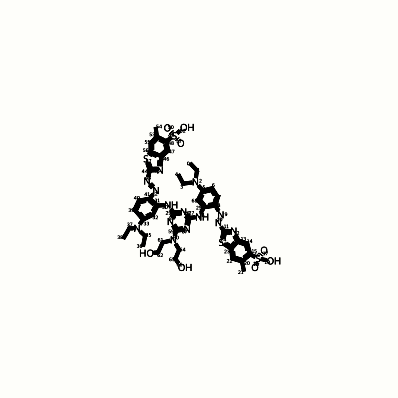 CCN(CC)c1ccc(/N=N/c2nc3cc(S(=O)(=O)O)c(C)cc3s2)c(Nc2nc(Nc3cc(N(CC)CC)ccc3/N=N/c3nc4cc(S(=O)(=O)O)c(C)cc4s3)nc(N(CCO)CCO)n2)c1